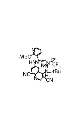 COc1ncccc1[C@H](Nc1cc(C#N)c2ncc(C#N)c(NCC(C)(C)C)c2c1)c1cn(C2(C(F)(F)F)CC2)nn1